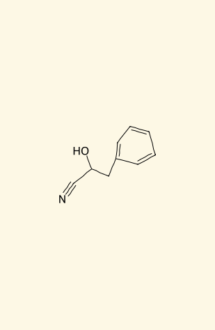 N#CC(O)Cc1ccccc1